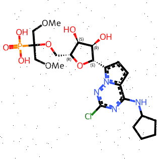 COCC(COC)(OC[C@H]1O[C@@H](c2ccc3c(NC4CCCC4)nc(Cl)nn23)[C@H](O)[C@@H]1O)P(=O)(O)O